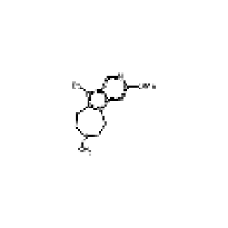 CCn1c2c(c3cc(OC)ncc31)CCN(C)CC2